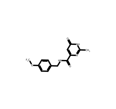 Cc1nc(C(=O)NCc2ccc(OC(F)(F)F)cc2)cc(=O)[nH]1